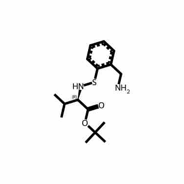 CC(C)[C@@H](NSc1ccccc1CN)C(=O)OC(C)(C)C